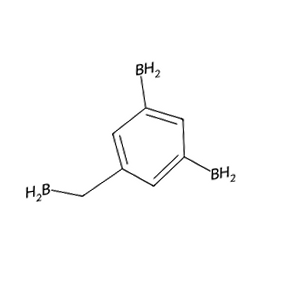 BCc1cc(B)cc(B)c1